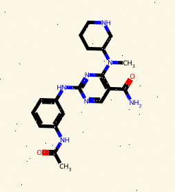 CC(=O)Nc1cccc(Nc2ncc(C(N)=O)c(N(C)C3CCCNC3)n2)c1